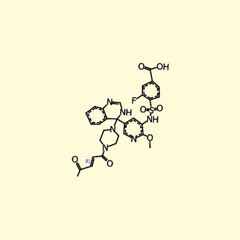 COc1ncc(C2(N3CCN(C(=O)/C=C/C(C)=O)CC3)NC=Nc3ccccc32)cc1NS(=O)(=O)c1ccc(C(=O)O)cc1F